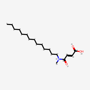 CCCCCCCCCCCCCCN(C)C(=O)/C=C/C(=O)O